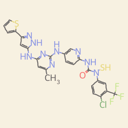 Cc1cc(Nc2cc(-c3cccs3)n[nH]2)nc(Nc2ccc(NC(=O)N(S)c3ccc(Cl)c(C(F)(F)F)c3)nc2)n1